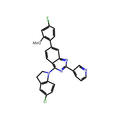 COc1cc(F)ccc1-c1ccc2c(N3CCc4cc(Cl)ccc43)nc(-c3cccnc3)nc2c1